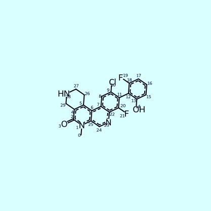 Cn1c(=O)c2c(c3c4cc(Cl)c(-c5c(O)cccc5F)c(F)c4ncc31)CCNC2